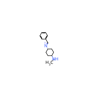 CN[C@H]1CC[C@H](/N=C/c2ccccc2)CC1